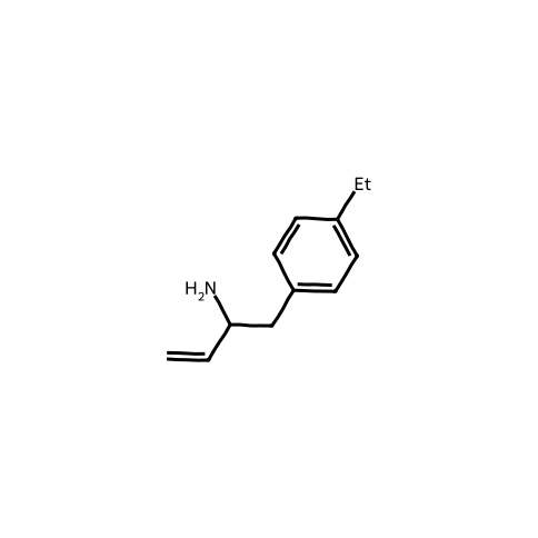 C=CC(N)Cc1ccc(CC)cc1